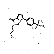 CCCCN1Cn2c(ccc2-c2ccc(C(C)(C)C)cc2)C1=O